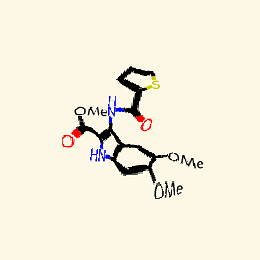 COC(=O)c1[nH]c2cc(OC)c(OC)cc2c1NC(=O)c1cccs1